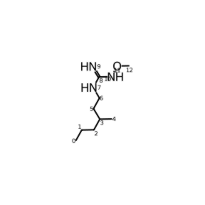 CCCC(C)CCNC(=N)NOC